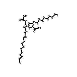 CCCCCCCCCCCCCCS(CCCCCCCCCCCC)(CCC(=O)O)CCC(=O)O